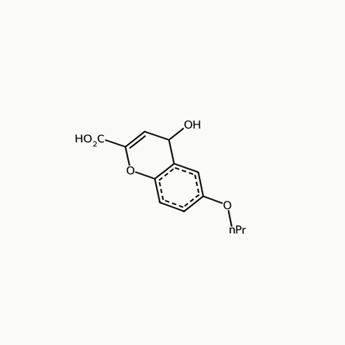 CCCOc1ccc2c(c1)C(O)C=C(C(=O)O)O2